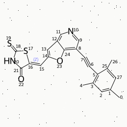 Cc1cc(C)c(C#Cc2cncc3cc(/C=C4\SC(=S)NC4=O)oc23)c(C)c1